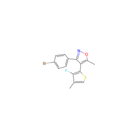 Cc1csc(-c2c(-c3ccc(Br)cc3)noc2C)c1F